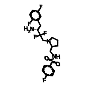 N[C@H](Cc1cc(F)ccc1F)C(F)(F)CN1CCCC1CNS(=O)(=O)c1ccc(F)cc1